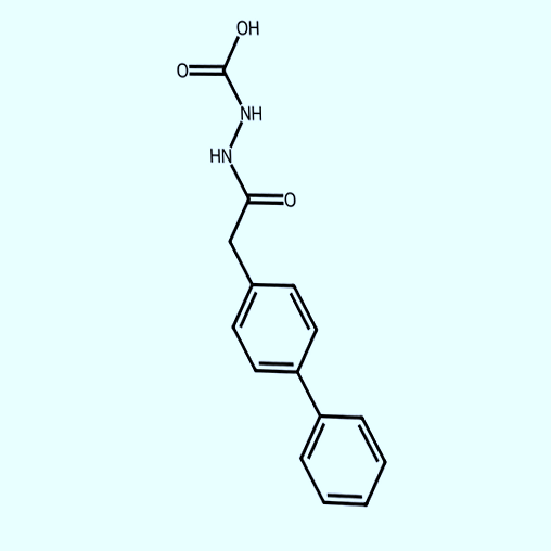 O=C(O)NNC(=O)Cc1ccc(-c2ccccc2)cc1